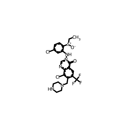 CC[S+]([O-])c1ccc(Cl)cc1Nn1cnc2c(Cl)c(CN3CCNCC3)c(C(F)(F)F)cc2c1=O